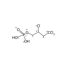 O=P(O)(O)OCC(Cl)CC(Cl)(Cl)Cl